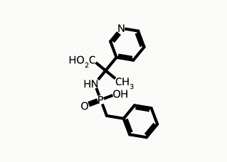 CC(NP(=O)(O)Cc1ccccc1)(C(=O)O)c1cccnc1